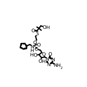 CC(C)(CO)C(=O)SCCOP(=O)(NCc1ccccc1)OCC1OC(n2cnc(N)nc2=O)C(O)C1O